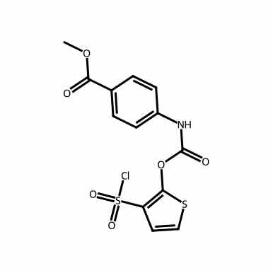 COC(=O)c1ccc(NC(=O)Oc2sccc2S(=O)(=O)Cl)cc1